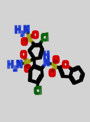 NS(=O)(=O)C1=C(Cl)C=CC(c2ccc(Cl)cc2NS(=O)(=O)c2cc3ccccc3o2)(S(N)(=O)=O)C1